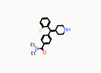 CCN(CC)C(=O)c1ccc(C(=C2CCNCC2)c2ccccc2F)cc1